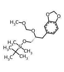 COCO[C@@H](CO[Si](C)(C)C(C)(C)C)Cc1ccc2c(c1)OCO2